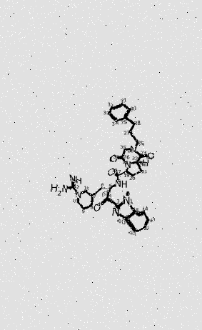 Cn1c(C(=O)[C@H](CC2CCCN(C(=N)N)C2)NC(=O)[C@@H]2CC[C@H]3C(=O)N(CCCc4ccccc4)CC(=O)N23)nc2ccccc21